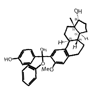 COc1cc2c(cc1C(O)(Oc1ccccc1)c1ccc(O)cc1)[C@H]1CC[C@]3(C)[C@H](O)CC[C@H]3[C@@H]1CC2